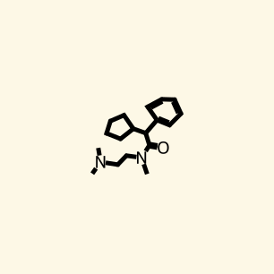 CN(C)CCN(C)C(=O)C(c1ccccc1)C1CCCC1